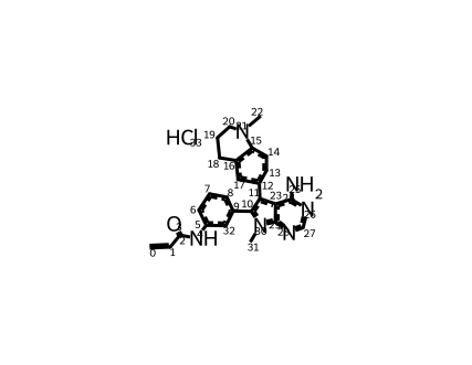 C=CC(=O)Nc1cccc(-c2c(-c3ccc4c(c3)CCCN4C)c3c(N)ncnc3n2C)c1.Cl